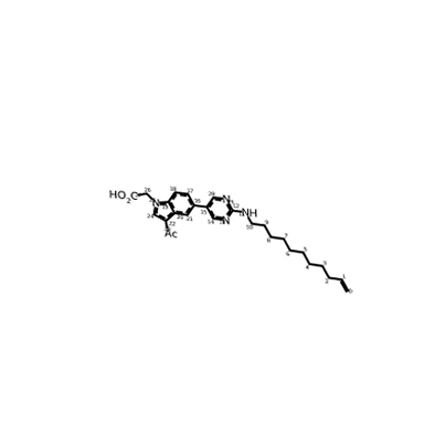 C=CCCCCCCCCCNc1ncc(-c2ccc3c(c2)c(C(C)=O)cn3CC(=O)O)cn1